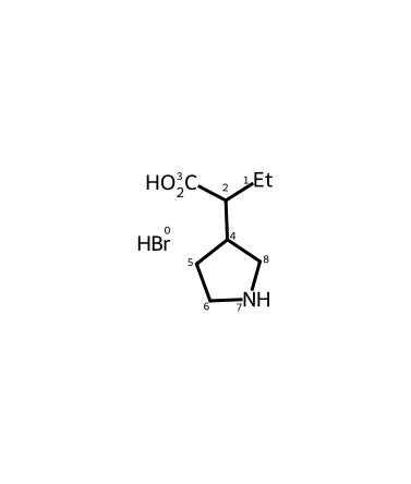 Br.CCC(C(=O)O)C1CCNC1